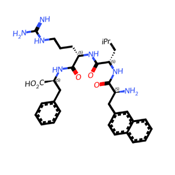 CC(C)C[C@H](NC(=O)[C@@H](N)Cc1ccc2ccccc2c1)C(=O)N[C@@H](CCCNC(=N)N)C(=O)N[C@@H](Cc1ccccc1)C(=O)O